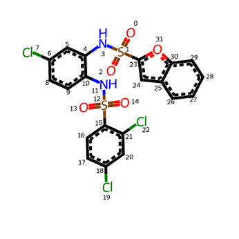 O=S(=O)(Nc1cc(Cl)ccc1NS(=O)(=O)c1ccc(Cl)cc1Cl)c1cc2ccccc2o1